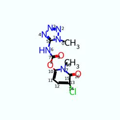 Cn1nnnc1NC(=O)Oc1ccc(Cl)c(=O)n1C